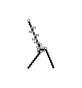 CCCCCCCCCCCCCCCC(=O)OC(=O)C(OC(=O)CCCCCCCCCCCCCCC)C(=O)SC(=O)C(=O)CNCCNCCNCCNCCNCCCCC=O